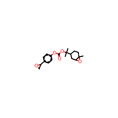 CC(C)(OC(=O)Oc1ccc(C2CO2)cc1)C1CCC2(C)OC2C1